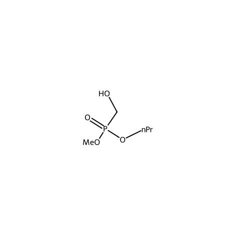 CCCOP(=O)(CO)OC